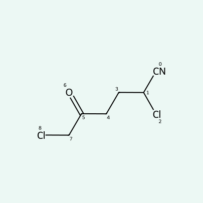 N#CC(Cl)CCC(=O)CCl